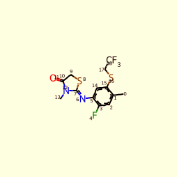 Cc1cc(F)c(/N=C2\SCC(=O)N2C)cc1SCC(F)(F)F